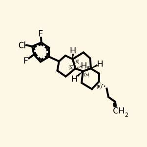 C=CCC[C@@H]1CC[C@H]2[C@H](CC[C@H]3CC(c4cc(F)c(Cl)c(F)c4)CC[C@@H]32)C1